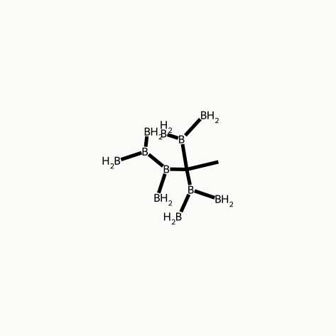 BB(B)B(B)C(C)(B(B)B)B(B)B